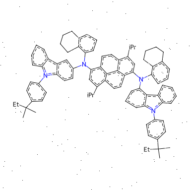 CCC(C)(C)c1ccc(-n2c3ccccc3c3cc(N(c4cccc5c4CCCC5)c4cc(C(C)C)c5ccc6c(N(c7cccc8c7CCCC8)c7cccc8c7c7ccccc7n8-c7ccc(C(C)(C)CC)cc7)cc(C(C)C)c7ccc4c5c76)ccc32)cc1